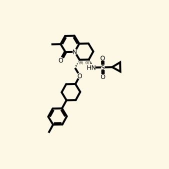 Cc1ccc(C2CCC(OC[C@H]3[C@@H](NS(=O)(=O)C4CC4)CCc4ccc(C)c(=O)n43)CC2)cc1